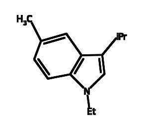 CCn1cc(C(C)C)c2cc(C)ccc21